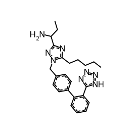 CCCCCc1nc(C(N)CC)nn1Cc1ccc(-c2ccccc2-c2nnn[nH]2)cc1